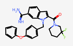 N=C(N)c1ccc2cc(C(=O)N3CCCC(F)(F)C3)n(Cc3ccc(Oc4ccccc4)cc3)c2c1